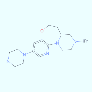 CC(C)N1CCN2c3ncc(N4CCNCC4)cc3OCCC2C1